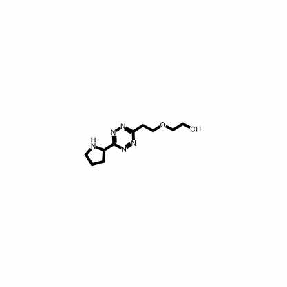 OCCOCCc1nnc(C2CCCN2)nn1